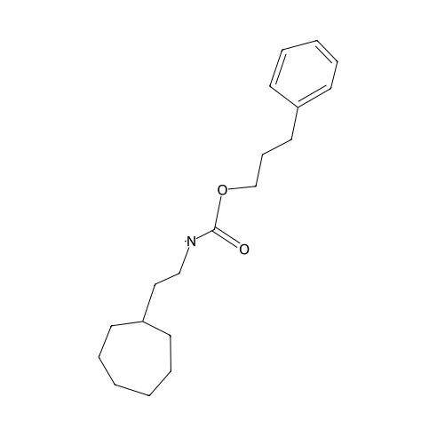 O=C([N]CCC1CCCCCC1)OCCCc1ccccc1